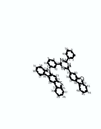 c1ccc(-c2nc(-c3cccc(-n4c5ccccc5c5cc6c(cc54)sc4ccccc46)c3)nc(-c3ccc4c(c3)oc3ccccc34)n2)cc1